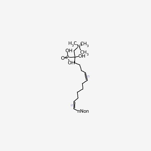 CCCCCCCCC/C=C\CCCC/C=C\CCCC(O)(C[N+](C)(C)C)P(=O)(O)O